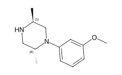 COc1cccc(N2C[C@H](C)NC[C@H]2C)c1